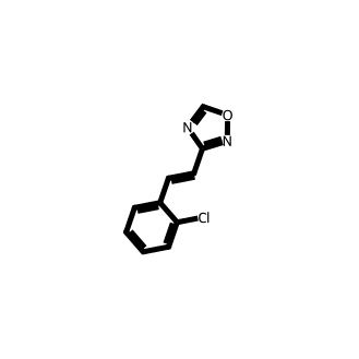 Clc1ccccc1C=Cc1ncon1